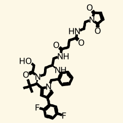 CC(C)(C)[C@H](c1cc(-c2cc(F)ccc2F)cn1Cc1ccccc1)N(CC[C@H](N)CNC(=O)CCC(=O)NCCN1C(=O)C=CC1=O)C(=O)CO